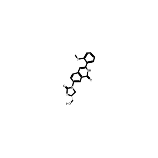 CSc1ccccc1-c1cc2ccc(N3C[C@H](CO)OC3=O)cc2c(=O)[nH]1